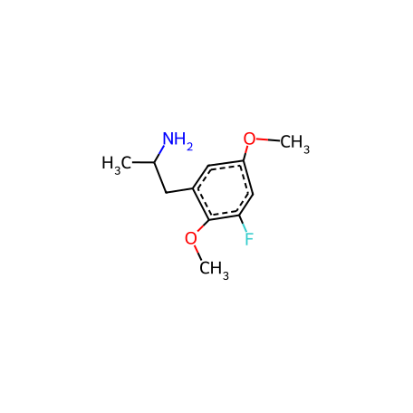 COc1cc(F)c(OC)c(CC(C)N)c1